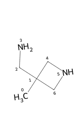 CC1(CN)CNC1